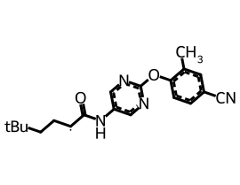 Cc1cc(C#N)ccc1Oc1ncc(NC(=O)[CH]CCC(C)(C)C)cn1